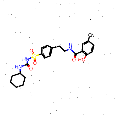 N#Cc1ccc(O)c(C(=O)NCCc2ccc(S(=O)(=O)NC(=O)NC3CCCCC3)cc2)c1